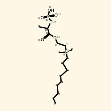 CCCCCCCCC[N+](C)(C)CCOC(=O)C(C)OS(=O)(=O)O